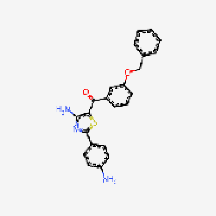 Nc1ccc(-c2nc(N)c(C(=O)c3cccc(OCc4ccccc4)c3)s2)cc1